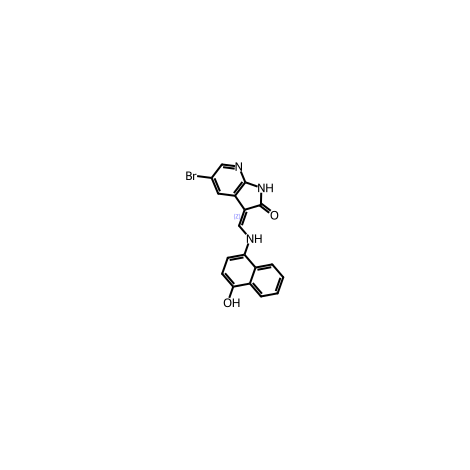 O=C1Nc2ncc(Br)cc2/C1=C/Nc1ccc(O)c2ccccc12